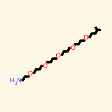 CC(C)CCCOCCCCOCCCCOCCCCOCCCCOCCCN